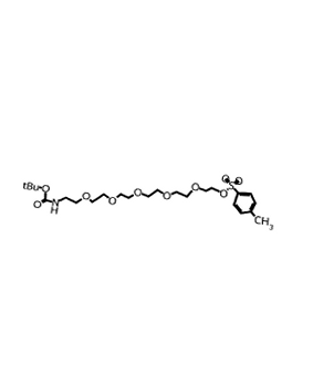 Cc1ccc(S(=O)(=O)OCCOCCOCCOCCOCCOCCNC(=O)OC(C)(C)C)cc1